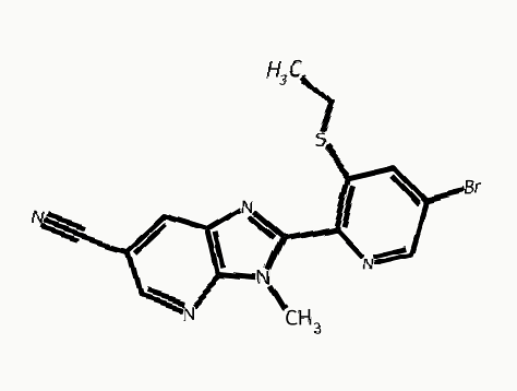 CCSc1cc(Br)cnc1-c1nc2cc(C#N)cnc2n1C